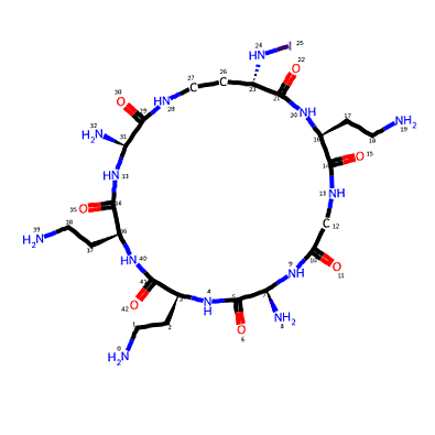 NCC[C@@H]1NC(=O)[C@H](N)NC(=O)CNC(=O)[C@H](CCN)NC(=O)[C@@H](NI)CCNC(=O)[C@H](N)NC(=O)[C@H](CCN)NC1=O